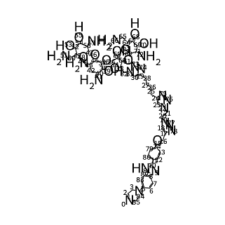 CN1CCN(c2ccc3nc(-c4ccc(OCc5cn(CCn6cc(CCCCc7cn(C[C@H]8OC(O[C@@H]9C(O)[C@H](N)CC(N)[C@H]9O[C@@H]9OC(CN)[C@@H](O)[C@H](O)C9N)[C@@H](O)[C@H]8O[C@H]8O[C@@H](CN)[C@@H](O)C(O)C8N)nn7)nn6)nn5)cc4)[nH]c3c2)CC1